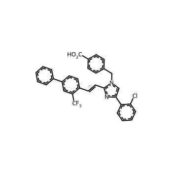 O=C(O)c1ccc(Cn2cc(-c3ccccc3Cl)nc2/C=C/c2ccc(-c3ccccc3)cc2C(F)(F)F)cc1